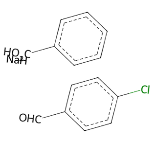 O=C(O)c1ccccc1.O=Cc1ccc(Cl)cc1.[NaH]